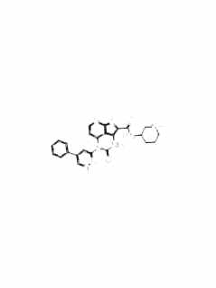 O=C(NC1CCCNC1)c1sc2nccc3c2c1NC(=O)N3c1cc(-c2ccccc2)cnn1